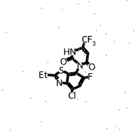 CCc1nc2c(Cl)cc(F)c(-n3c(=O)cc(C(F)(F)F)[nH]c3=O)c2s1